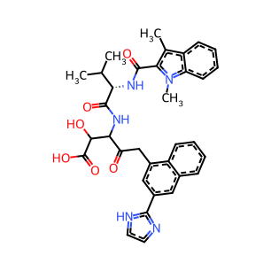 Cc1c(C(=O)N[C@H](C(=O)NC(C(=O)Cc2cc(-c3ncc[nH]3)cc3ccccc23)C(O)C(=O)O)C(C)C)n(C)c2ccccc12